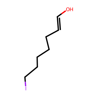 OC=CCCCCCI